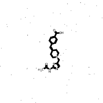 CC(=O)Nc1ncc(CN2CCC(=Cc3ccc(C(=O)O)cc3)CC2)s1